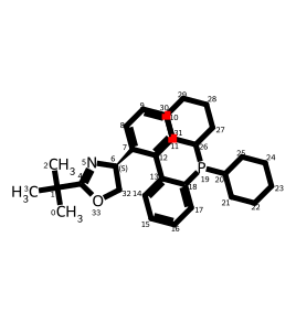 CC(C)(C)C1=N[C@@H](c2ccccc2-c2ccccc2P(C2CCCCC2)C2CCCCC2)CO1